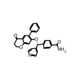 NC(=O)c1ccc([C@@H](Oc2cc3c(cc2-c2ccccc2)C(=O)CCO3)c2ccncc2)cc1